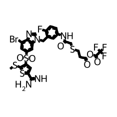 CSc1sc(C(=N)N)cc1S(=O)(=O)c1cc(Br)c2ncn(Cc3cc(NC(=O)CSCCC(=O)OC(=O)C(F)(F)F)ccc3F)c2c1